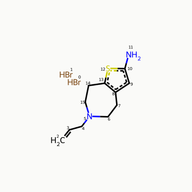 Br.Br.C=CCN1CCc2cc(N)sc2CC1